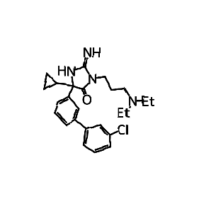 CCN(CC)CCCN1C(=N)NC(c2cccc(-c3cccc(Cl)c3)c2)(C2CC2)C1=O